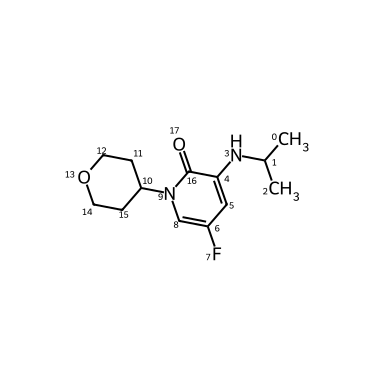 CC(C)Nc1cc(F)cn(C2CCOCC2)c1=O